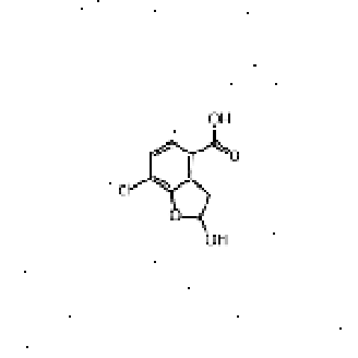 O=C(O)c1ccc(Cl)c2c1CC(O)O2